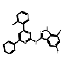 Cc1ccccc1-c1cc(-c2ccccc2)nc(Nc2n[nH]c3c(F)cc(F)cc23)n1